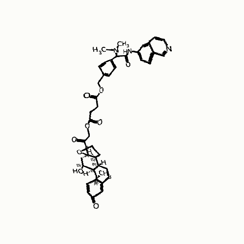 CN(C)C(C(=O)Nc1ccc2cnccc2c1)c1ccc(COC(=O)CCC(=O)OCC(=O)[C@@]23CC[C@H]4[C@@H]5CCC6=CC(=O)C=C[C@]6(C)[C@H]5[C@@H](O)C[C@@]42O3)cc1